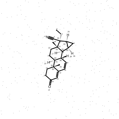 CC[C@]1(C#N)[C@H]2C[C@H]2[C@H]2[C@@H]3C=CC4=CC(=O)CC[C@]4(C)[C@H]3CC[C@@]21C